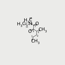 CCCC(C)C(=O)C(=O)N(C)CC